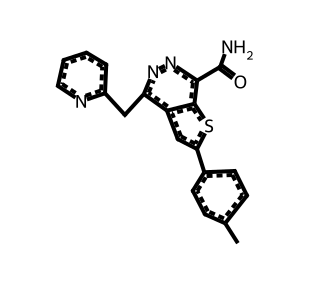 Cc1ccc(-c2cc3c(Cc4ccccn4)nnc(C(N)=O)c3s2)cc1